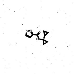 O=C(NC1(C2CC2)CC1)c1ccon1